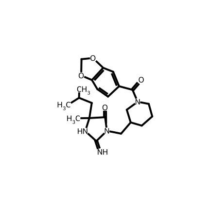 CC(C)CC1(C)NC(=N)N(CC2CCCN(C(=O)c3ccc4c(c3)OCO4)C2)C1=O